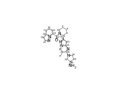 Cc1cn2nc([C@@H]3CCCCN3C(=O)c3cccc4ccnn34)cc2nc1N1CC[C@H](N)C1